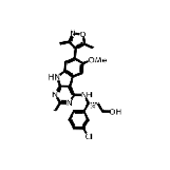 COc1cc2c(cc1-c1c(C)noc1C)[nH]c1nc(C)nc(N[C@H](CCO)c3cccc(Cl)c3)c12